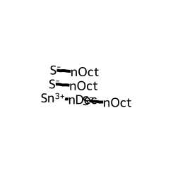 CCCCCCCCC[CH2][Sn+3].CCCCCCCC[S-].CCCCCCCC[S-].CCCCCCCC[S-]